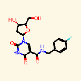 O=C(NCc1ccc(F)cc1)c1cn([C@H]2C[C@@H](O)C(CO)O2)c(=O)[nH]c1=O